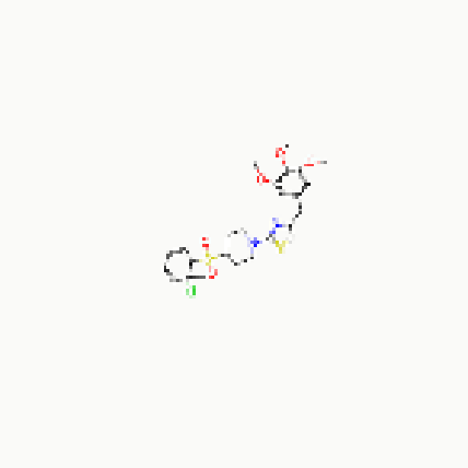 COc1cc(Cc2csc(N3CCC(S(=O)(=O)C4C=CC=CC4(C)Cl)CC3)n2)cc(OC)c1OC